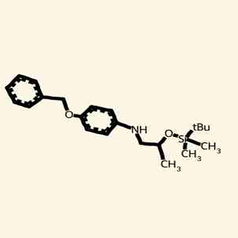 CC(CNc1ccc(OCc2ccccc2)cc1)O[Si](C)(C)C(C)(C)C